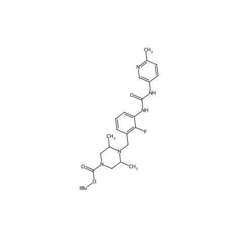 Cc1ccc(NC(=O)Nc2cccc(CN3C(C)CN(C(=O)OC(C)(C)C)CC3C)c2F)cn1